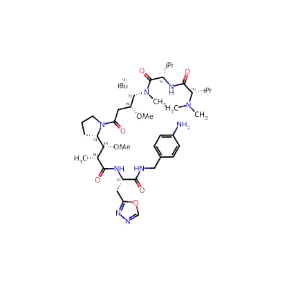 CC[C@H](C)[C@@H]([C@@H](CC(=O)N1CCC[C@H]1[C@H](OC)[C@@H](C)C(=O)N[C@@H](Cc1nnco1)C(=O)NCc1ccc(N)cc1)OC)N(C)C(=O)[C@@H](NC(=O)[C@H](C(C)C)N(C)C)C(C)C